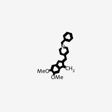 C=C1/C(=C/C2=CCN(Cc3ccccc3)CC2)Cc2cc(OC)c(OC)cc21